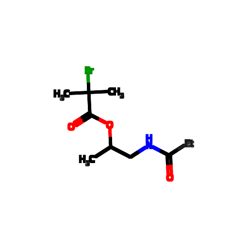 CCC(=O)NCC(C)OC(=O)C(C)(C)Br